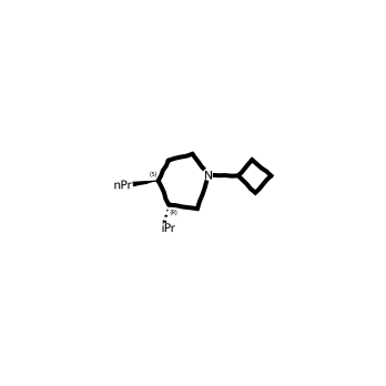 CCC[C@H]1CCN(C2CCC2)C[C@@H]1C(C)C